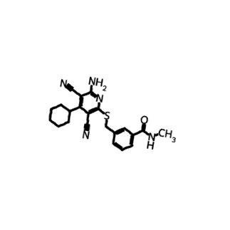 CNC(=O)c1cccc(CSc2nc(N)c(C#N)c(C3CCCCC3)c2C#N)c1